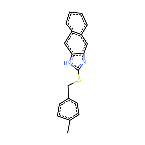 Cc1ccc(CSc2nc3cc4ccccc4cc3[nH]2)cc1